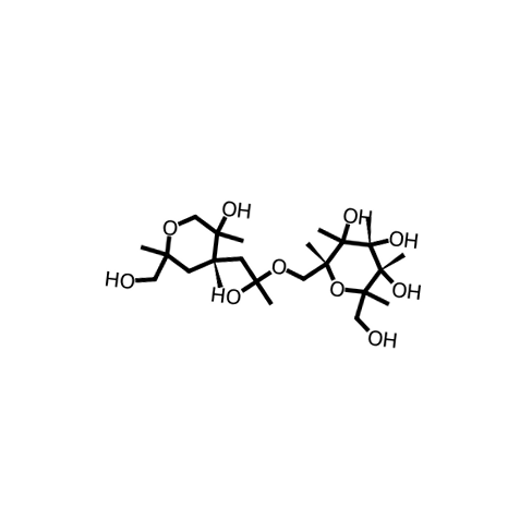 CC(O)(C[C@]1(C)CC(C)(CO)OCC1(C)O)OC[C@@]1(C)OC(C)(CO)[C@@](C)(O)[C@@](C)(O)C1(C)O